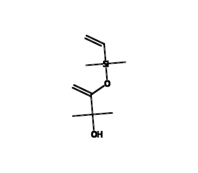 C=C[Si](C)(C)OC(=C)C(C)(C)O